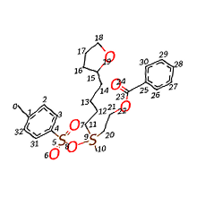 Cc1ccc(S(=O)(=O)OS(C)(CCCCC2CCCO2)CCOC(=O)c2ccccc2)cc1